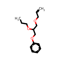 C=CCOCC(COc1ccccc1)OCCC